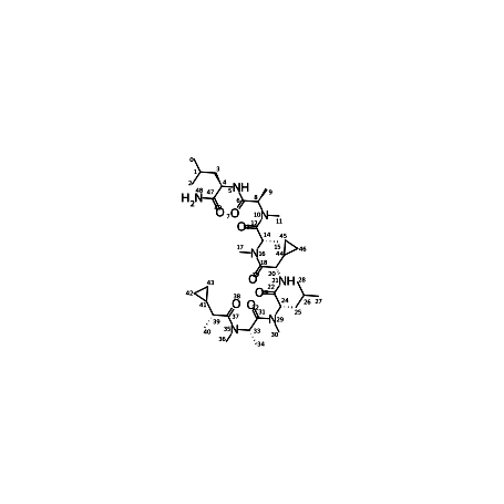 CC(C)C[C@@H](NC(=O)[C@@H](C)N(C)C(=O)[C@H](C)N(C)C(=O)[C@@H](NC(=O)[C@H](CC(C)C)N(C)C(=O)[C@H](C)N(C)C(=O)[C@H](C)C1CC1)C1CC1)C(N)=O